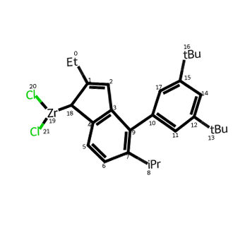 CCC1=Cc2c(ccc(C(C)C)c2-c2cc(C(C)(C)C)cc(C(C)(C)C)c2)[CH]1[Zr]([Cl])[Cl]